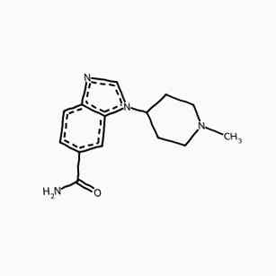 CN1CCC(n2cnc3ccc(C(N)=O)cc32)CC1